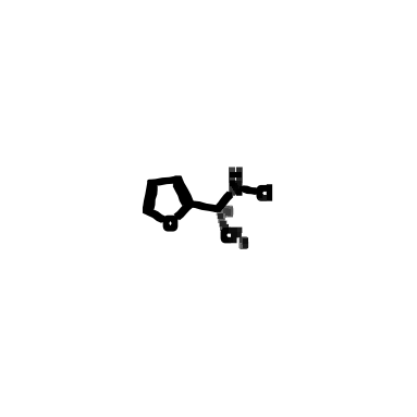 FC(F)(F)[C@@H](NCl)c1ccco1